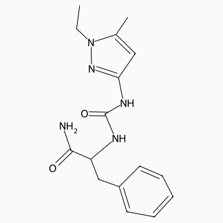 CCn1nc(NC(=O)NC(Cc2ccccc2)C(N)=O)cc1C